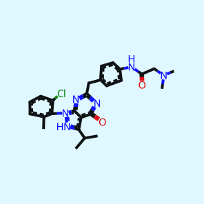 Cc1cccc(Cl)c1-n1[nH]c(C(C)C)c2c(=O)nc(Cc3ccc(NC(=O)CN(C)C)cc3)nc1-2